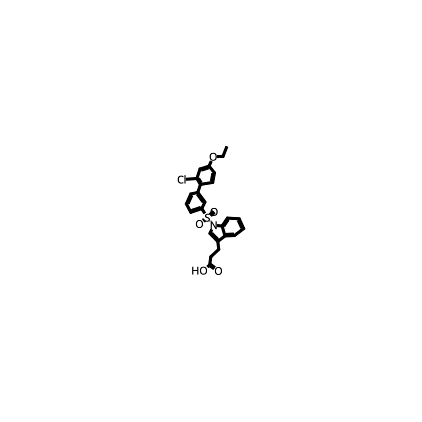 CCOc1ccc(-c2cccc(S(=O)(=O)n3cc(CCC(=O)O)c4ccccc43)c2)c(Cl)c1